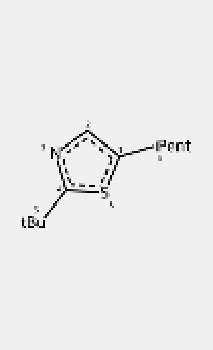 CCCC(C)c1cnc(C(C)(C)C)s1